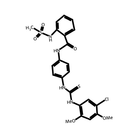 COc1cc(OC)c(NC(=S)Nc2ccc(NC(=O)c3ccccc3NS(C)(=O)=O)cc2)cc1Cl